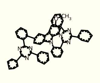 COc1ccc2c(c1)c1cc(-c3ccccc3-c3nc(-c4ccccc4)nc(-c4ccccc4)n3)ccc1n2-c1ccccc1-c1nc(-c2ccccc2)nc(-c2ccccc2)n1